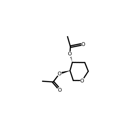 CC(=O)O[C@@H]1CCOC[C@H]1OC(C)=O